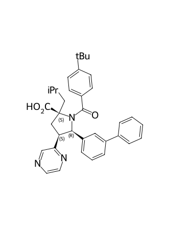 CC(C)C[C@@]1(C(=O)O)C[C@H](c2cnccn2)[C@H](c2cccc(-c3ccccc3)c2)N1C(=O)c1ccc(C(C)(C)C)cc1